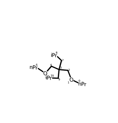 CCCOCC(COCCC)(CC(C)C)CC(C)C